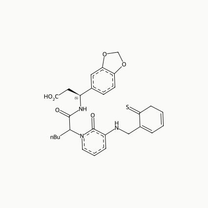 CCCCC(C(=O)N[C@@H](CC(=O)O)c1ccc2c(c1)OCO2)n1cccc(NCC2=CC=CCC2=S)c1=O